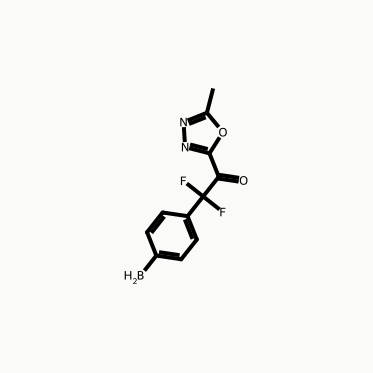 Bc1ccc(C(F)(F)C(=O)c2nnc(C)o2)cc1